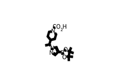 CC(C1CCN(C(=O)O)CC1)n1cc(B2OC(C)(C)C(C)(C)O2)cn1